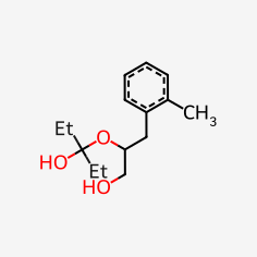 CCC(O)(CC)OC(CO)Cc1ccccc1C